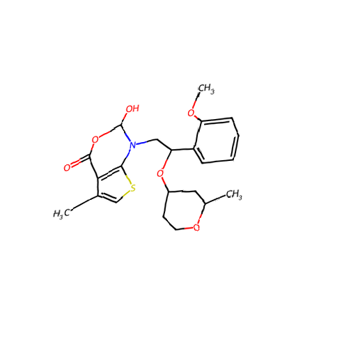 COc1ccccc1C(CN1c2scc(C)c2C(=O)OC1O)OC1CCOC(C)C1